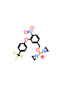 O=[N+]([O-])c1ccc(COP(=O)(N2CC2)N2CC2)cc1Oc1ccc(C(F)(F)F)cc1